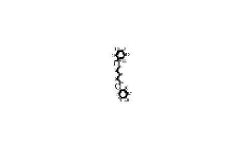 [CH]1C=C(OCCCCCOc2ccccc2)C=CC1